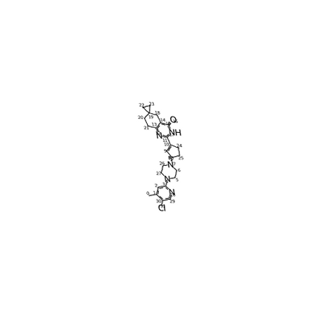 Cc1cc(N2CCN([C@H]3C=C(c4nc5c(c(=O)[nH]4)CC4(CC5)CC4)CC3)CC2)ncc1Cl